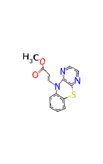 COC(=O)C=CN1c2ccccc2Sc2nccnc21